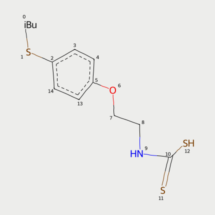 CCC(C)Sc1ccc(OCCNC(=S)S)cc1